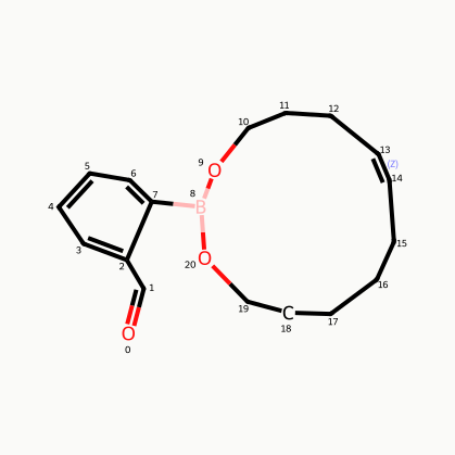 O=Cc1ccccc1B1OCCC/C=C\CCCCCO1